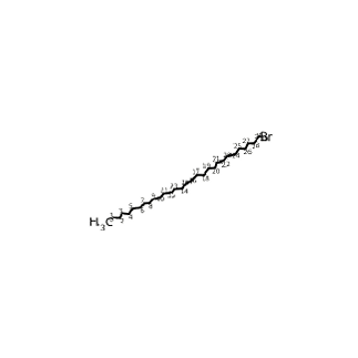 CCCCCCCCCCCCCCCCCCCCCCCCCCCCCCBr